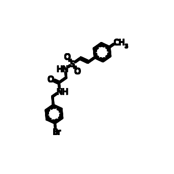 Cc1ccc(/C=C/S(=O)(=O)NCC(=O)NCc2ccc(Br)cc2)cc1